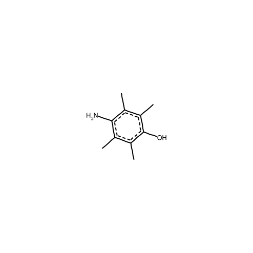 Cc1c(C)c(O)c(C)c(C)c1N